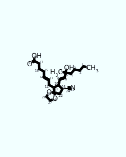 CCCCCC(C)(O)/C=C/C1C(C/C=C/CCCC(=O)O)C2(C[C@@H]1C#N)OCCO2